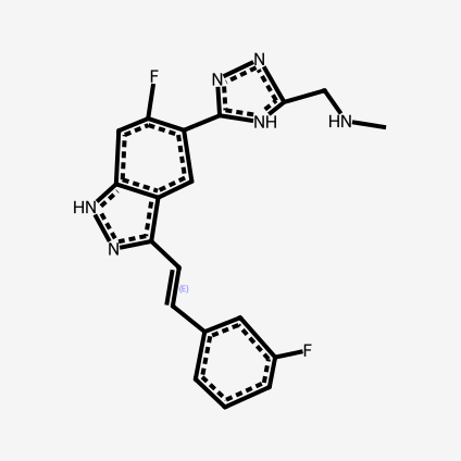 CNCc1nnc(-c2cc3c(/C=C/c4cccc(F)c4)n[nH]c3cc2F)[nH]1